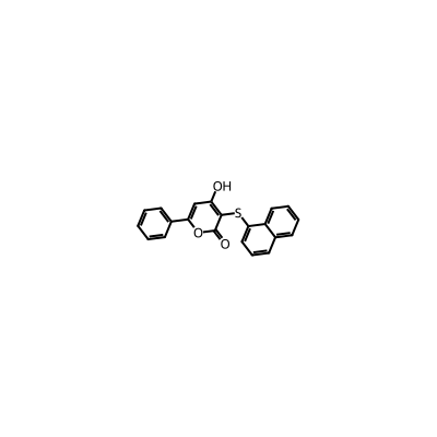 O=c1oc(-c2ccccc2)cc(O)c1Sc1cccc2ccccc12